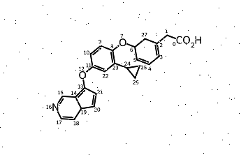 O=C(O)CC1=CC=CC(Oc2ccc(OC3=C4C=NC=CC4C=C3)cc2C2CC2)C1